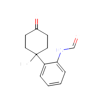 CC1(c2ccccc2NC=O)CCC(=O)CC1